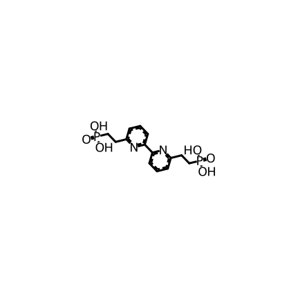 O=P(O)(O)CCc1cccc(-c2cccc(CCP(=O)(O)O)n2)n1